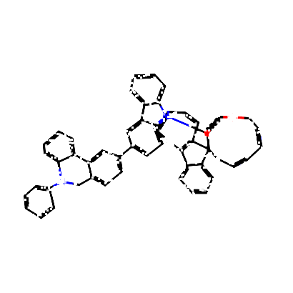 C1=CCC2=C(C=C1)C1(C/C=C\C=C/COc3ccc(-n4c5ccccc5c5cc(-c6ccc7c(c6)-c6ccccc6N(c6ccccc6)C7)ccc54)cc31)c1ccccc12